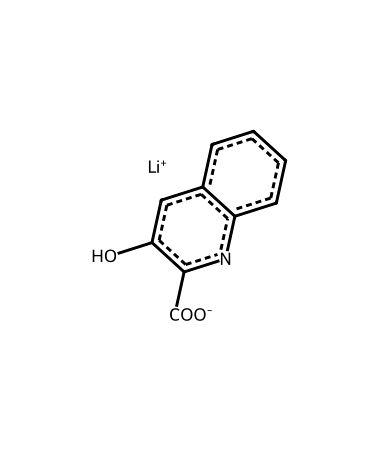 O=C([O-])c1nc2ccccc2cc1O.[Li+]